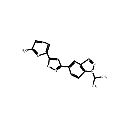 Cc1cncc(-c2nc(-c3ccc4c(c3)nnn4C(C)C)no2)n1